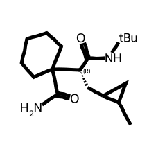 CC1CC1C[C@@H](C(=O)NC(C)(C)C)C1(C(N)=O)CCCCC1